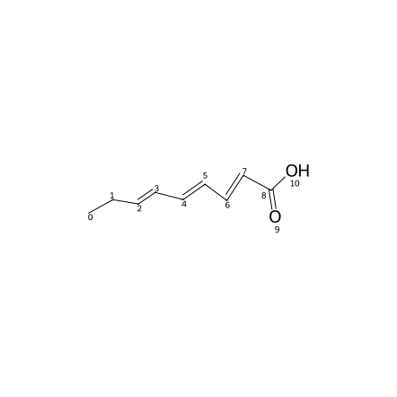 CCC=CC=CC=CC(=O)O